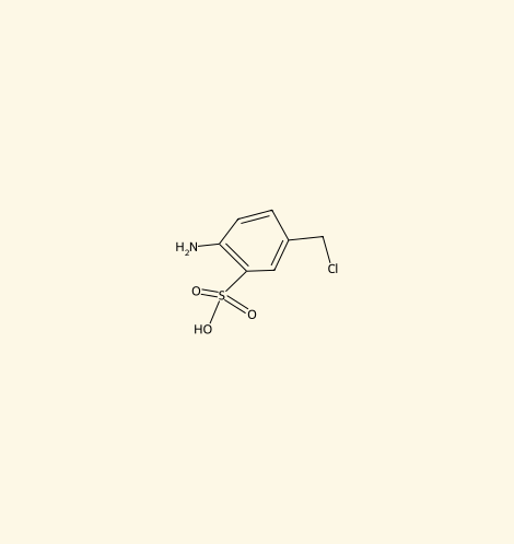 Nc1ccc(CCl)cc1S(=O)(=O)O